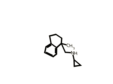 CC1(CNC2CC2)CCCc2ccccc21